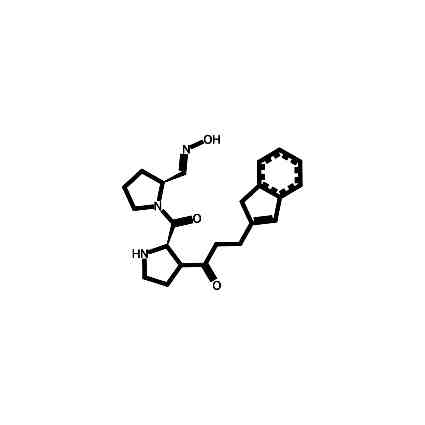 O=C(CCC1=Cc2ccccc2C1)C1CCN[C@H]1C(=O)N1CCC[C@H]1C=NO